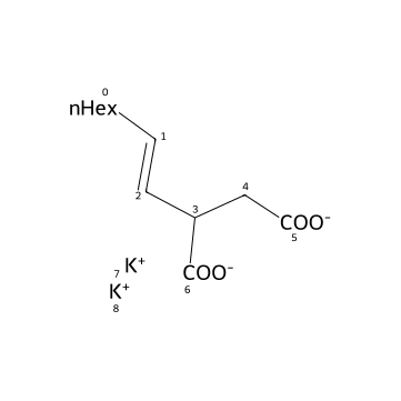 CCCCCCC=CC(CC(=O)[O-])C(=O)[O-].[K+].[K+]